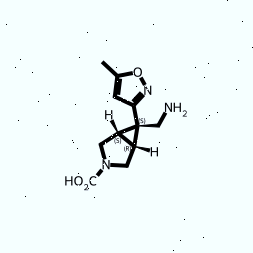 Cc1cc([C@]2(CN)[C@@H]3CN(C(=O)O)C[C@@H]32)no1